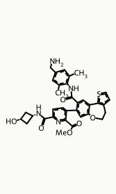 COC(=O)c1nc(C(=O)N[C@H]2C[C@H](O)C2)ccc1-c1cc2c(cc1C(=O)Nc1c(C)cc(CN)cc1C)-c1sccc1CCO2